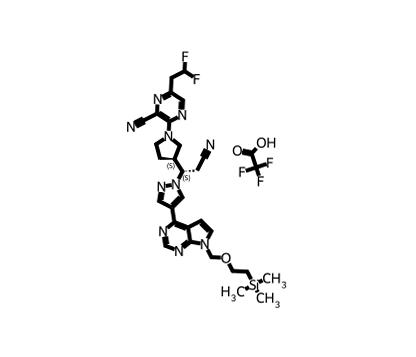 C[Si](C)(C)CCOCn1ccc2c(-c3cnn([C@@H](CC#N)[C@H]4CCN(c5ncc(CC(F)F)nc5C#N)C4)c3)ncnc21.O=C(O)C(F)(F)F